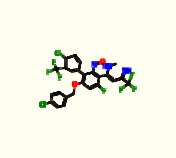 CN/C(=C\C(=N)C(F)(F)F)c1c(F)cc(OCc2ccc(Cl)cc2)c(-c2ccc(Cl)c(C(F)(F)F)c2)c1N=O